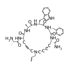 C=CCN1CC#CC[C@@H](NC(=O)[C@H](C)N)C(=O)N[C@@H](C)C(=O)N[C@@H](Cc2c[nH]c3ccccc23)C(=O)N[C@H](Cc2ccccc2)C(=O)N[C@H](C(N)=O)CCCC1